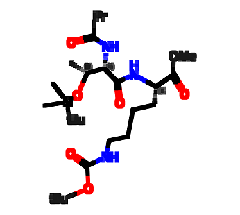 COC(=O)[C@H](CCCCNC(=O)OC(C)(C)C)NC(=O)[C@@H](NC(=O)C(C)C)[C@@H](C)O[Si](C)(C)C(C)(C)C